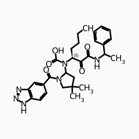 CCCC[C@@H](C(=O)C(=O)NC(C)c1ccccc1)N(C(=O)O)C1CC(C)(C)CN1C(=O)c1ccc2[nH]nnc2c1